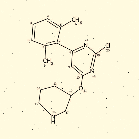 Cc1cccc(C)c1-c1cc(OC2CCCNC2)nc(Cl)n1